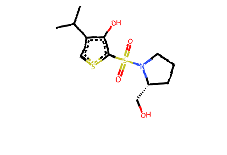 CC(C)c1csc(S(=O)(=O)N2CCC[C@@H]2CO)c1O